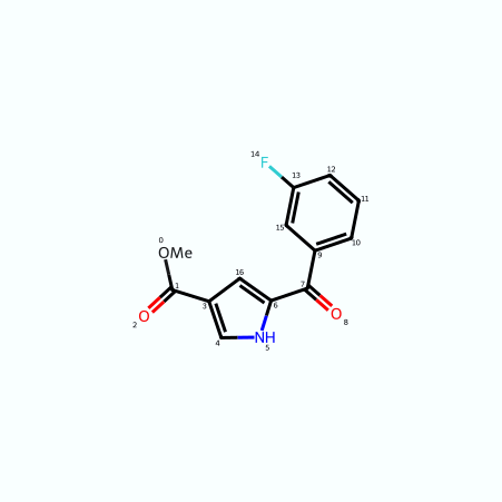 COC(=O)c1c[nH]c(C(=O)c2cccc(F)c2)c1